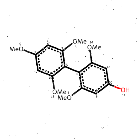 COc1cc(OC)c(-c2c(OC)cc(O)cc2OC)c(OC)c1